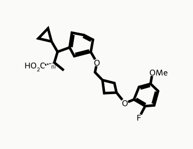 COc1ccc(F)c(OC2CC(COc3cccc(C(C4CC4)[C@H](C)C(=O)O)c3)C2)c1